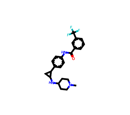 CN1CCC(NC2CC2c2ccc(NC(=O)c3cccc(C(F)(F)F)c3)cc2)CC1